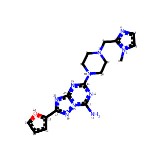 Cn1ccnc1CN1CCN(c2nc(N)n3nc(-c4ccco4)nc3n2)CC1